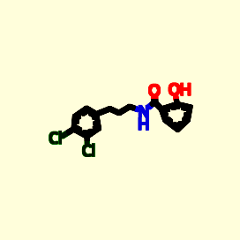 O=C(NCCCc1ccc(Cl)c(Cl)c1)c1ccccc1O